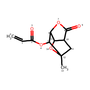 C=CC(=O)OC1C2OC(=O)C3CC1(C)OC32